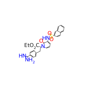 CCOC(=O)C(Cc1ccc(C(=N)N)cc1)n1cccc(NS(=O)(=O)c2ccc3ccccc3c2)c1=O